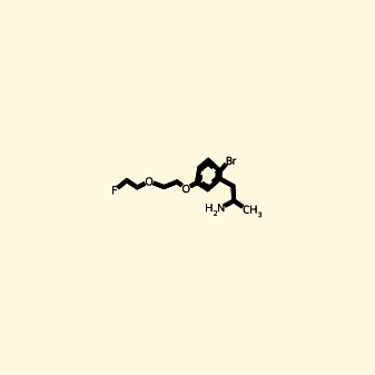 CC(N)Cc1cc(OCCOCCF)ccc1Br